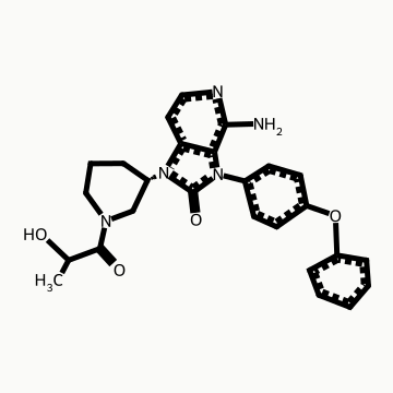 CC(O)C(=O)N1CCC[C@H](n2c(=O)n(-c3ccc(Oc4ccccc4)cc3)c3c(N)nccc32)C1